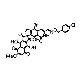 COC1=CC(=O)c2c(O)c3c(c(O)c2C1=O)C(=O)[C@]1(CCc2c1c(O)c1c(=O)[nH]c(C=NOCc4ccc(Cl)cc4)cc1c2Br)C3=O